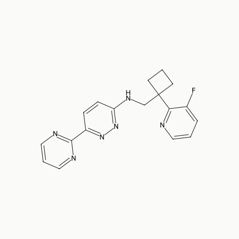 Fc1cccnc1C1(CNc2ccc(-c3ncccn3)nn2)CCC1